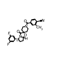 Cc1cc(C(=O)N2CCC3(CC2)O[C@@H]2CC[C@@H](c4cc(F)cc(F)c4)N2C3=O)ccc1C#N